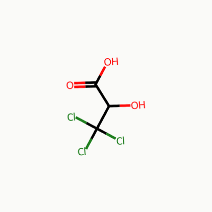 O=C(O)C(O)C(Cl)(Cl)Cl